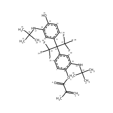 C=C(C)C(=O)Oc1ccc(C(c2ccc(O)c(NC(C)(C)C)c2)(C(F)(F)F)C(F)(F)F)cc1NC(C)(C)C